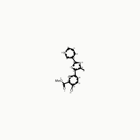 COC(=O)c1nc(-c2sc(-c3cccnc3)nc2C)ccc1Cl